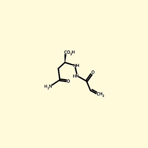 C=CC(=O)NN[C@@H](CC(N)=O)C(=O)O